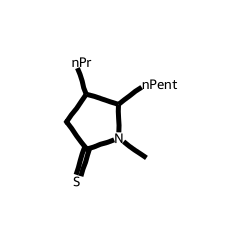 CCCCCC1C(CCC)CC(=S)N1C